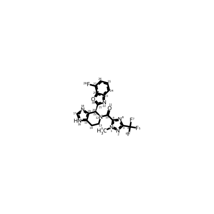 Cn1nc(C(F)(F)F)nc1C(=O)N1CCc2[nH]cnc2[C@H]1c1nc2cccc(F)c2o1